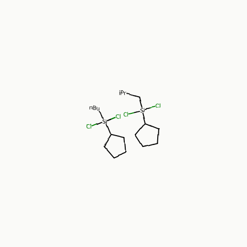 CC(C)C[Si](Cl)(Cl)C1CCCC1.CCCC[Si](Cl)(Cl)C1CCCC1